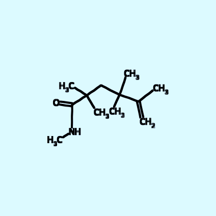 C=C(C)C(C)(C)CC(C)(C)C(=O)NC